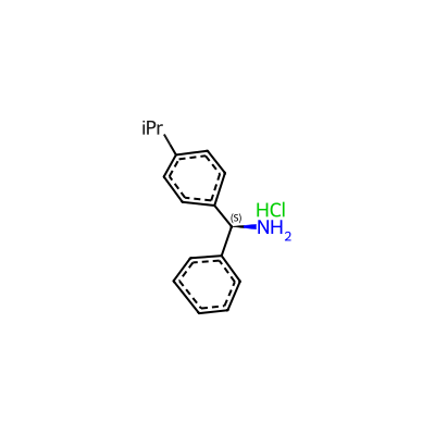 CC(C)c1ccc([C@@H](N)c2ccccc2)cc1.Cl